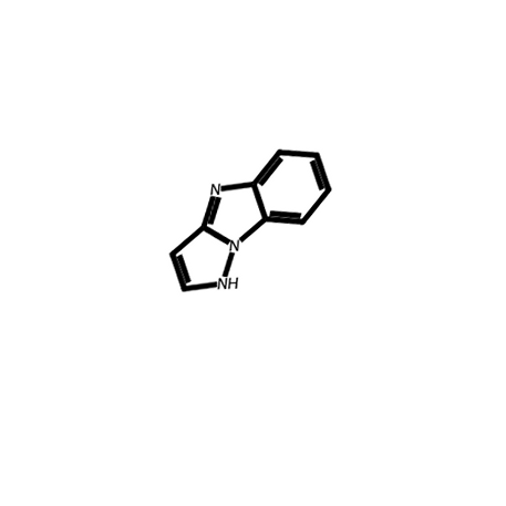 c1ccc2c(c1)nc1cc[nH]n12